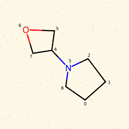 C1CCN(C2COC2)C1